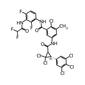 Cc1cc(NC(=O)C2[C@H](c3cc(Cl)c(Cl)c(Cl)c3)C2(Cl)Cl)cc(C(=O)Nc2ccc(F)c(NC(=O)C(F)F)c2F)c1Cl